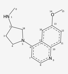 CNC1CCN(c2ccnc3ccc(OC)cc23)C1